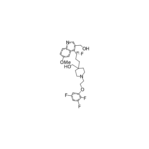 COc1ccc2ncc(CO)c([C@H](F)CCC3(CO)CCN(CCOc4cc(F)cc(F)c4F)CC3)c2c1